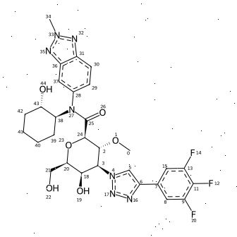 CO[C@@H]1[C@@H](n2cc(-c3cc(F)c(F)c(F)c3)nn2)[C@@H](O)[C@@H](CO)O[C@H]1C(=O)N(c1ccc2nn(C)nc2c1)[C@H]1CCCC[C@@H]1O